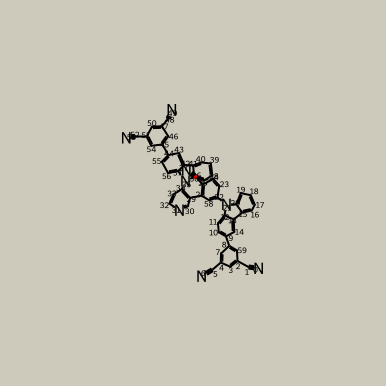 N#Cc1cc(C#N)cc(-c2ccc3c(c2)c2ccccc2n3-c2ccc(C#N)c(-c3cnccc3-n3c4ccccc4c4cc(-c5cc(C#N)cc(C#N)c5)ccc43)c2)c1